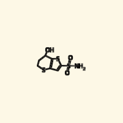 NS(=O)(=O)c1cc2c(s1)C(O)CCS2